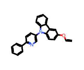 C=COc1ccc2c(c1)c1ccccc1n2-c1ccc(-c2ccccc2)nc1